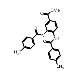 COC(=O)c1ccc(NC(=O)c2ccc(C)cc2)c(NC(=O)c2ccc(C)cc2)c1